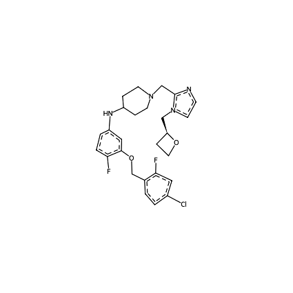 Fc1cc(Cl)ccc1COc1cc(NC2CCN(Cc3nccn3C[C@@H]3CCO3)CC2)ccc1F